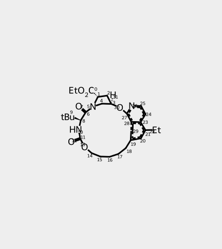 CCOC(=O)[C@@H]1C[C@@H]2CN1C(=O)[C@H](C(C)(C)C)NC(=O)OCCCCCc1cc(CC)c3ccnc(c3c1)O2